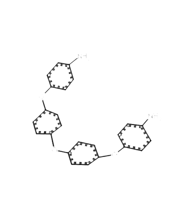 Nc1ccc(Oc2ccc(Oc3ccc(Oc4ccc(N)cc4)cc3)cc2)cc1